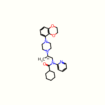 C[C@H](CN(C(=O)C1CCCCC1)c1ccccn1)N1CCN(c2cccc3c2OCCO3)CC1